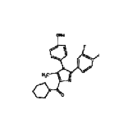 COc1ccc(-n2c(-c3ccc(I)c(F)c3)nc(C(=O)N3CCCCC3)c2C)cc1